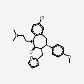 COc1ccc([C@@H]2Cc3cc(Cl)ccc3N(CCN(C)C)C(=O)[C@@H]2Cc2ccco2)cc1